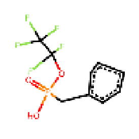 O=P(O)(Cc1ccccc1)OC(F)(F)C(F)(F)F